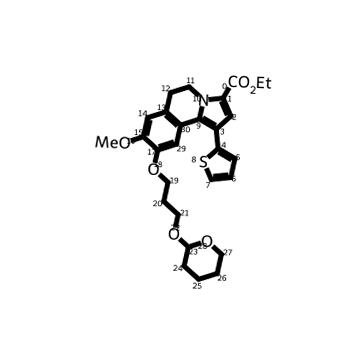 CCOC(=O)c1cc(-c2cccs2)c2n1CCc1cc(OC)c(OCCCOC3CCCCO3)cc1-2